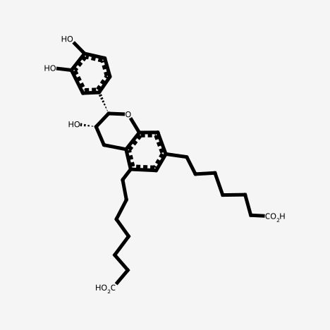 O=C(O)CCCCCCc1cc(CCCCCCC(=O)O)c2c(c1)O[C@@H](c1ccc(O)c(O)c1)[C@@H](O)C2